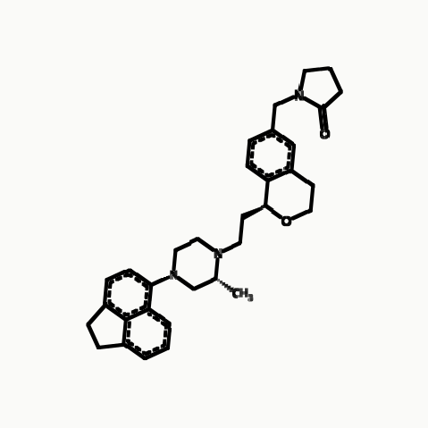 C[C@@H]1CN(c2ccc3c4c(cccc24)CC3)CCN1CC[C@@H]1OCCc2cc(CN3CCCC3=O)ccc21